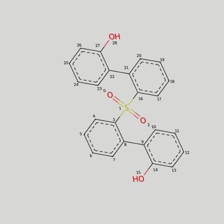 O=S(=O)(c1ccccc1-c1ccccc1O)c1ccccc1-c1ccccc1O